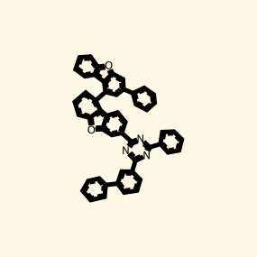 c1ccc(-c2cccc(-c3nc(-c4ccccc4)nc(-c4ccc5c(c4)oc4cccc(-c6cc(-c7ccccc7)cc7oc8ccccc8c67)c45)n3)c2)cc1